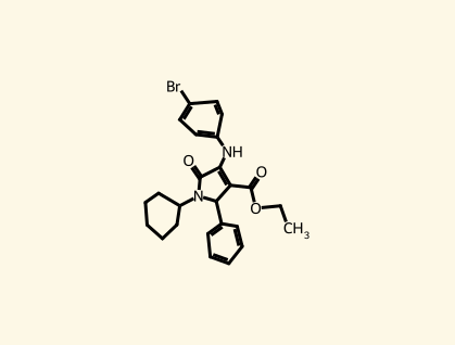 CCOC(=O)C1=C(Nc2ccc(Br)cc2)C(=O)N(C2CCCCC2)C1c1ccccc1